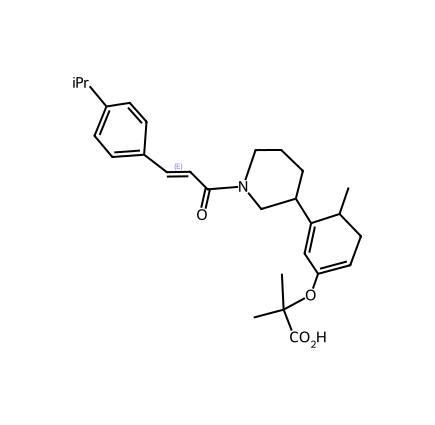 CC1CC=C(OC(C)(C)C(=O)O)C=C1C1CCCN(C(=O)/C=C/c2ccc(C(C)C)cc2)C1